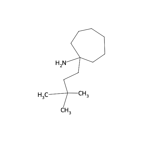 CC(C)(C)CCC1(N)CCCCCC1